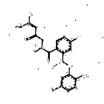 CN/C(C#N)=C\C(=N)CN(C)C(=O)c1ccc(F)cc1[C@@H](C)Oc1cc(Br)cnc1N